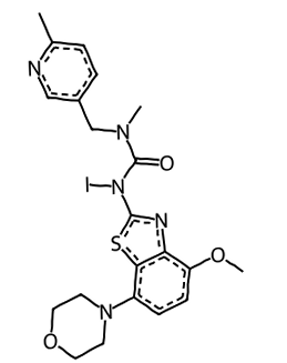 COc1ccc(N2CCOCC2)c2sc(N(I)C(=O)N(C)Cc3ccc(C)nc3)nc12